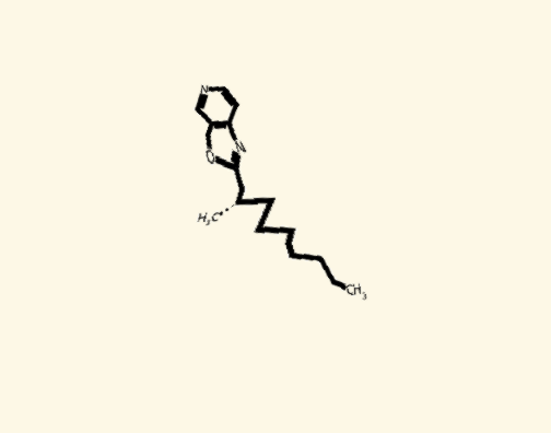 CCCCCCC[C@H](C)c1nc2ccncc2o1